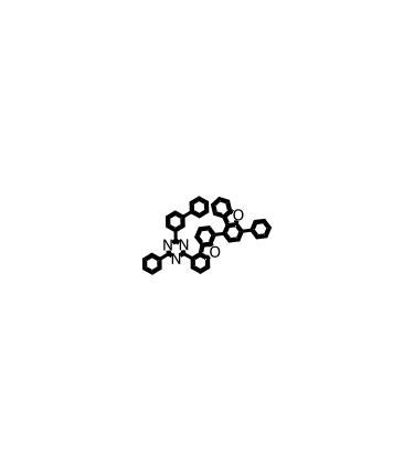 c1ccc(-c2cccc(-c3nc(-c4ccccc4)nc(-c4cccc5oc6c(-c7ccc(-c8ccccc8)c8oc9ccccc9c78)cccc6c45)n3)c2)cc1